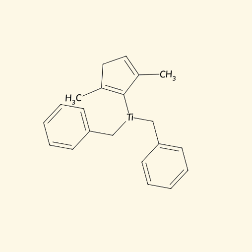 CC1=CCC(C)=[C]1[Ti]([CH2]c1ccccc1)[CH2]c1ccccc1